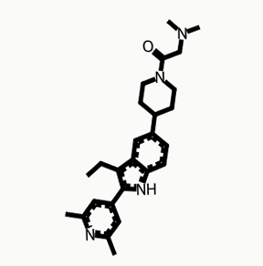 CCc1c(-c2cc(C)nc(C)c2)[nH]c2ccc(C3CCN(C(=O)CN(C)C)CC3)cc12